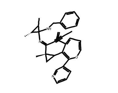 C=CC1=CC=COC(c2cccnc2)=C1C1C[C@]1(C)/C(C#CC)=N/C1(NCc2ccccc2)C(C)[C@H]1C